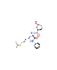 CC(=O)SCCCCC[C@H](NC(=O)[C@@H]1CCCC(=O)N1C)C(=O)Nc1ccccc1